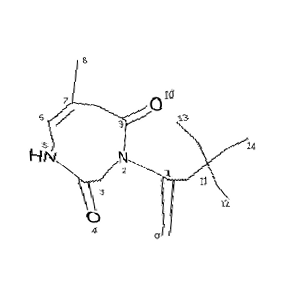 C=C(n1c(=O)[nH]cc(C)c1=O)C(C)(C)C